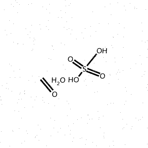 C=O.O.O=S(=O)(O)O